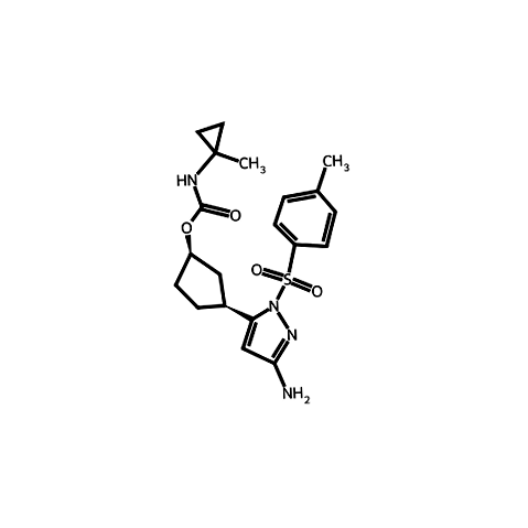 Cc1ccc(S(=O)(=O)n2nc(N)cc2[C@H]2CC[C@@H](OC(=O)NC3(C)CC3)C2)cc1